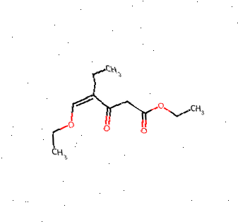 CCOC=C(CC)C(=O)CC(=O)OCC